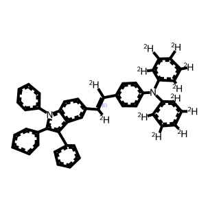 [2H]/C(=C(/[2H])c1ccc2c(c1)c(-c1ccccc1)c(-c1ccccc1)n2-c1ccccc1)c1ccc(N(c2c([2H])c([2H])c([2H])c([2H])c2[2H])c2c([2H])c([2H])c([2H])c([2H])c2[2H])cc1